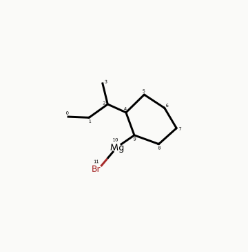 CCC(C)C1CCCC[CH]1[Mg][Br]